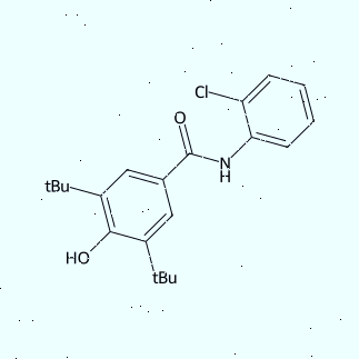 CC(C)(C)c1cc(C(=O)Nc2ccccc2Cl)cc(C(C)(C)C)c1O